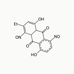 CCC1=C(N=O)C2C(=O)c3c(O)ccc(N=O)c3C(=O)C2C(O)=C1